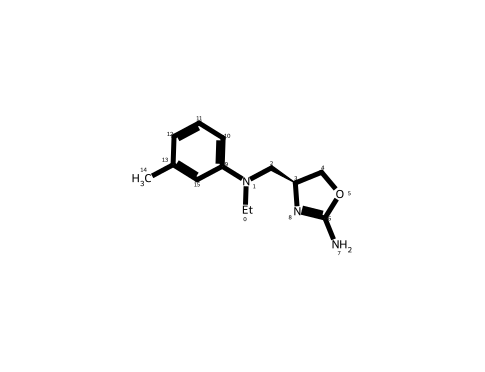 CCN(C[C@H]1COC(N)=N1)c1cccc(C)c1